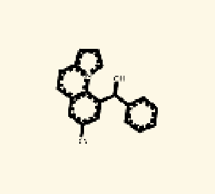 N#Cc1cc(C(O)c2ccccc2)c2c(ccc3cccn32)c1